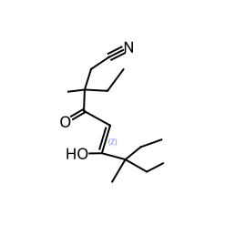 CCC(C)(CC#N)C(=O)/C=C(\O)C(C)(CC)CC